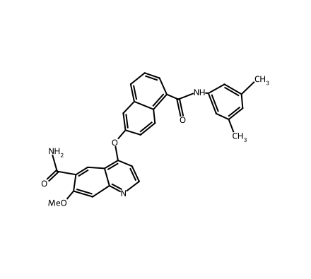 COc1cc2nccc(Oc3ccc4c(C(=O)Nc5cc(C)cc(C)c5)cccc4c3)c2cc1C(N)=O